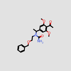 COc1cc(C(C)N(CCOCc2ccccc2)C(N)=O)cc(OC)c1C(C)=O